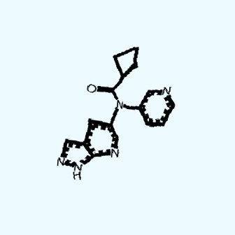 O=C(C1CCC1)N(c1cccnc1)c1cnc2[nH]ncc2c1